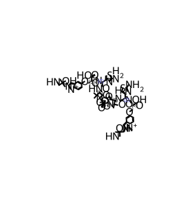 C[n+]1c2ccc(OC[C@H](O/N=C(\C(=O)N[C@@H]3C(=O)N(OS(=O)(=O)ON4C(=O)[C@@H](NC(=O)/C(=N\O[C@@H](COc5ccc6c(c5)cn(CC5(O)CNC5)[n+]6C)C(=O)O)c5csc(N)n5)C4(C)C)C3(C)C)c3csc(N)n3)C(=O)O)cc2cn1CC1(O)CNC1